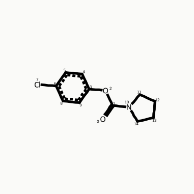 O=C(Oc1ccc(Cl)cc1)N1CCCC1